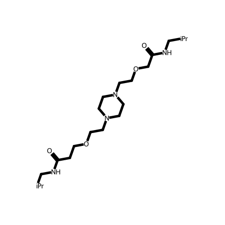 CC(C)CNC(=O)CCOCCN1CCN(CCOCC(=O)NCC(C)C)CC1